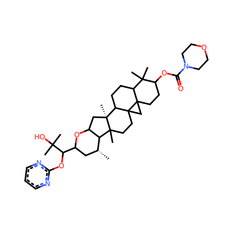 C[C@@H]1CC(C(Oc2ncccn2)C(C)(C)O)OC2C[C@@]3(C)C4CCC5C(C)(C)C(OC(=O)N6CCOCC6)CCC56CC46CCC3(C)C21